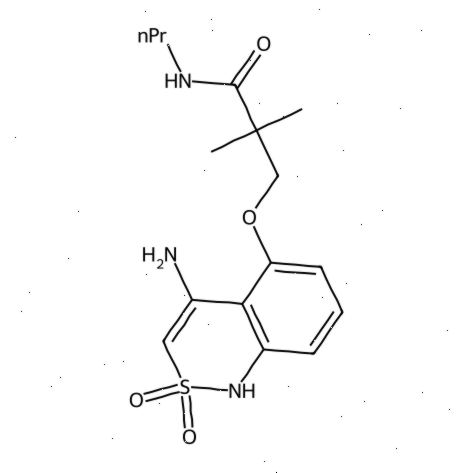 CCCNC(=O)C(C)(C)COc1cccc2c1C(N)=CS(=O)(=O)N2